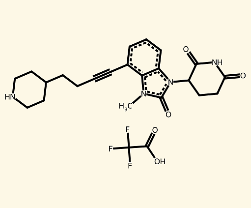 Cn1c(=O)n(C2CCC(=O)NC2=O)c2cccc(C#CCCC3CCNCC3)c21.O=C(O)C(F)(F)F